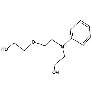 OCCOCCN(CCO)c1ccccc1